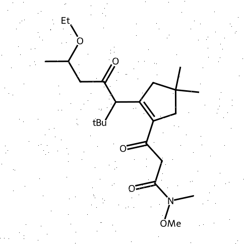 CCOC(C)CC(=O)C(C1=C(C(=O)CC(=O)N(C)OC)CC(C)(C)C1)C(C)(C)C